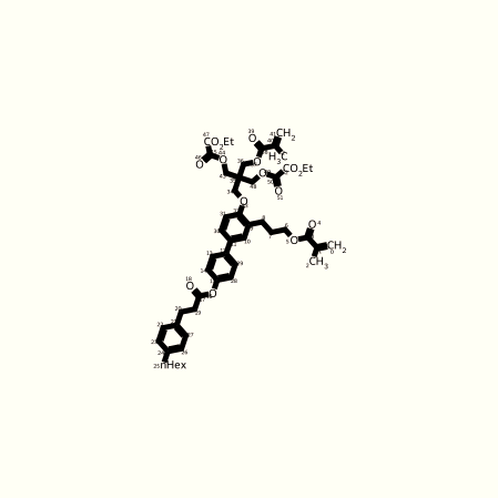 C=C(C)C(=O)OCCCc1cc(-c2ccc(OC(=O)CCc3ccc(CCCCCC)cc3)cc2)ccc1OCC(COC(=O)C(=C)C)(COC(=O)C(=O)OCC)COC(=O)C(=O)OCC